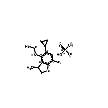 CC1COc2c(F)cc(C3CC3)c(O[CH2][Na])c21.O=P(O)(O)O